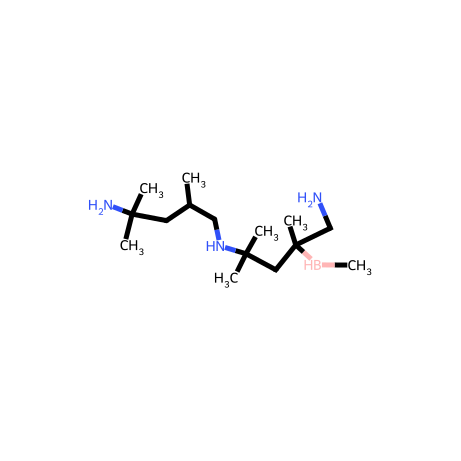 CBC(C)(CN)CC(C)(C)NCC(C)CC(C)(C)N